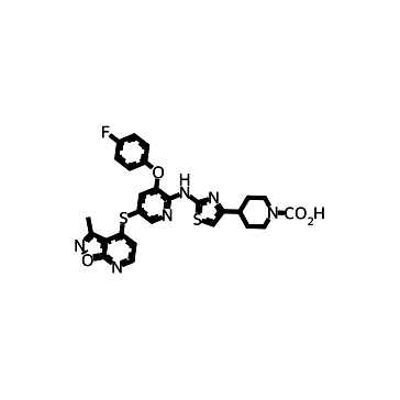 Cc1noc2nccc(Sc3cnc(Nc4nc(C5CCN(C(=O)O)CC5)cs4)c(Oc4ccc(F)cc4)c3)c12